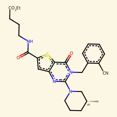 CCOC(=O)CCCNC(=O)c1cc2nc(N3CCC[C@@H](C)C3)n(Cc3ccccc3C#N)c(=O)c2s1